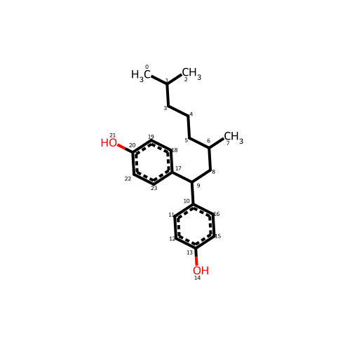 CC(C)CCCC(C)CC(c1ccc(O)cc1)c1ccc(O)cc1